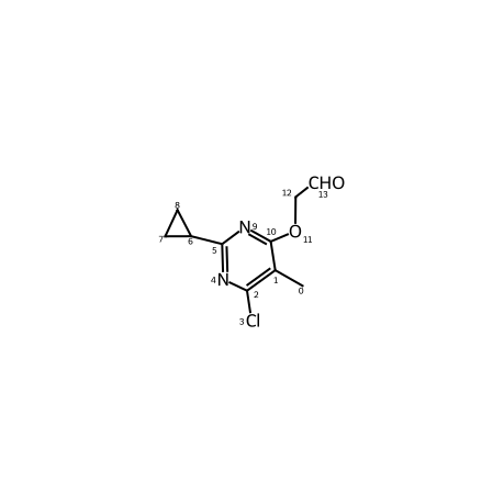 Cc1c(Cl)nc(C2CC2)nc1OCC=O